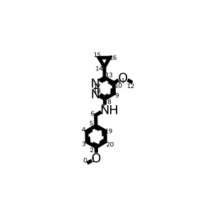 COc1ccc(CNc2cc(OC)c(C3CC3)nn2)cc1